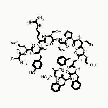 CSCC[C@H](NC(=O)[C@@H](N)C(C)C)C(=O)N[C@@H](Cc1ccc(O)cc1)C(=O)N[C@@H](CCCNC(=N)N)C(=O)N[C@@H](CO)C(=O)N[C@@H](CC(C)C)C(=O)N1CCC[C@H]1C(=O)N[C@@H](CC(C)C)C(=O)N[C@@H](CCC(=O)O)C(=O)N[C@@H](Cc1ccccc1)C(=O)N[C@@H](Cc1ccccc1)C(=O)N[C@@H](Cc1ccccc1)C(=O)N[C@H](C(=O)O)[C@@H](C)O